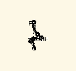 COCCCN1CCOc2ccc(COC3CNCCC3c3ccc(OCCOCc4ccccc4F)cc3)cc21